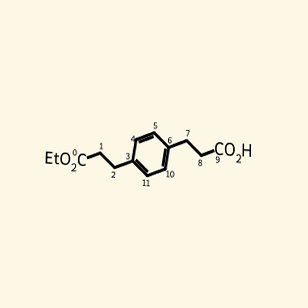 CCOC(=O)CCc1ccc(CCC(=O)O)cc1